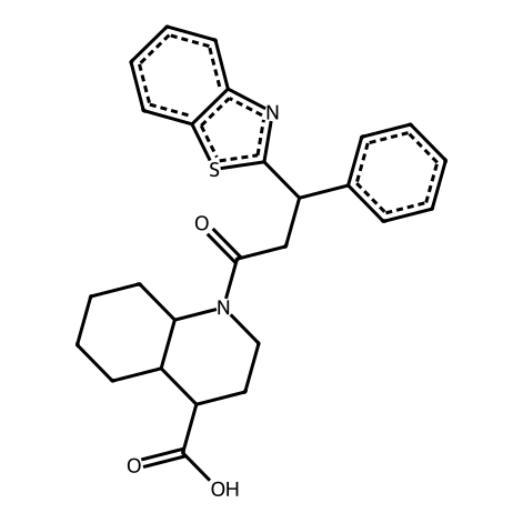 O=C(O)C1CCN(C(=O)CC(c2ccccc2)c2nc3ccccc3s2)C2CCCCC12